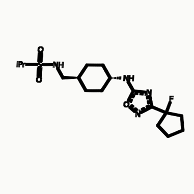 CC(C)S(=O)(=O)NC[C@H]1CC[C@H](Nc2nc(C3(F)CCCC3)no2)CC1